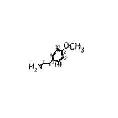 COc1ccc(CCN)cc1.I